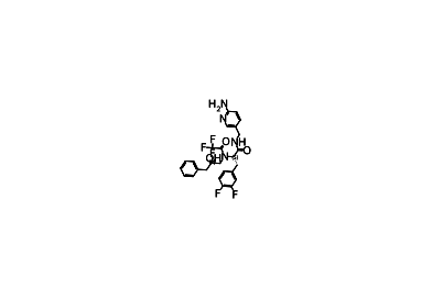 Nc1ccc(CNC(=O)[C@H](Cc2ccc(F)c(F)c2)N(C[C@H](O)Cc2ccccc2)C(=O)C(F)(F)F)cn1